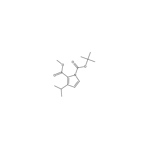 COC(=O)c1c(C(C)C)ccn1C(=O)OC(C)(C)C